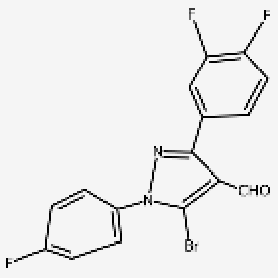 O=Cc1c(-c2ccc(F)c(F)c2)nn(-c2ccc(F)cc2)c1Br